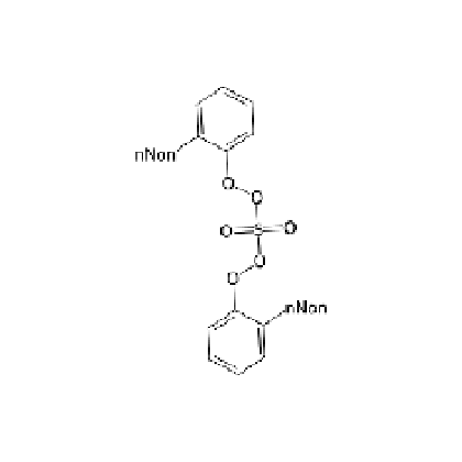 CCCCCCCCCc1ccccc1OOS(=O)(=O)OOc1ccccc1CCCCCCCCC